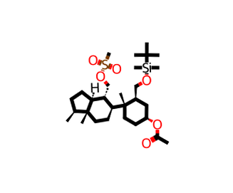 CC(=O)O[C@H]1CC[C@](C)([C@H]2CC[C@]3(C)[C@@H](C)CC[C@H]3[C@@H]2COS(C)(=O)=O)[C@@H](CO[Si](C)(C)C(C)(C)C)C1